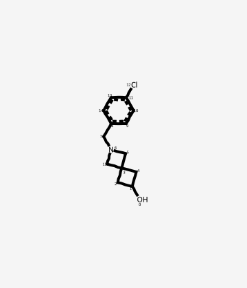 OC1CC2(C1)CN(Cc1ccc(Cl)cc1)C2